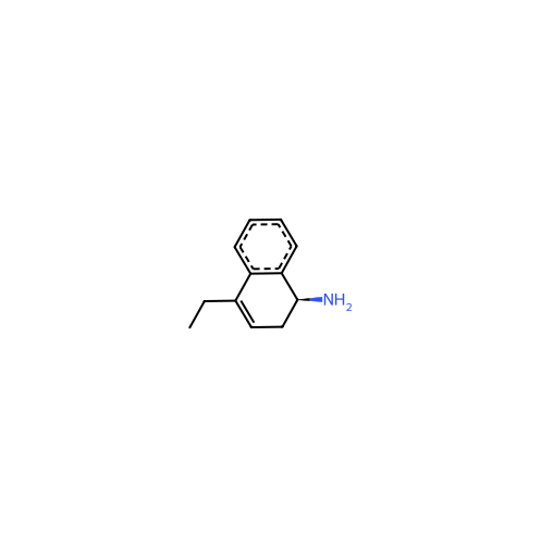 CCC1=CC[C@H](N)c2ccccc21